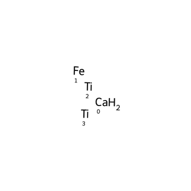 [CaH2].[Fe].[Ti].[Ti]